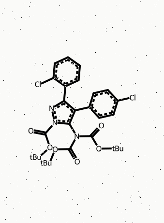 CC(C)(C)OC(=O)N(C(=O)OC(C)(C)C)c1c(-c2ccc(Cl)cc2)c(-c2ccccc2Cl)nn1C(=O)OC(C)(C)C